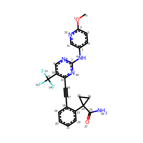 COc1ccc(Nc2ncc(C(F)(F)F)c(C#Cc3ccccc3C3(C(N)=O)CC3)n2)cn1